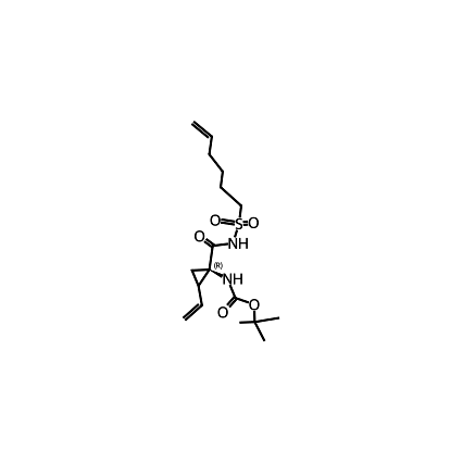 C=CCCCCS(=O)(=O)NC(=O)[C@@]1(NC(=O)OC(C)(C)C)CC1C=C